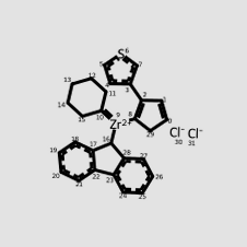 C1=CC(c2ccsc2)=[C]([Zr+2](=[C]2CCCCC2)[CH]2c3ccccc3-c3ccccc32)C1.[Cl-].[Cl-]